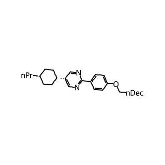 CCCCCCCCCCCOc1ccc(-c2ncc([C@H]3CC[C@H](CCC)CC3)cn2)cc1